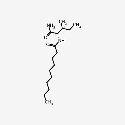 CCCCCCCCCC(=O)N[C@H](C(N)=O)[C@@H](C)CC